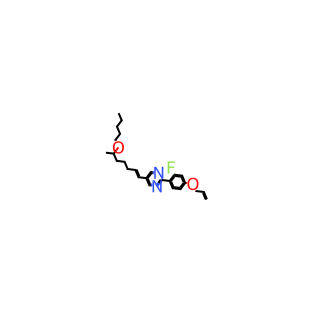 C=CCOc1ccc(-c2ncc(C=CCCCC(C)OCCCCC)cn2)c(F)c1